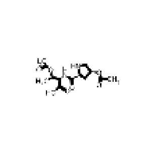 CC(=O)O[C@@H]1CN[C@H](C(=O)N[C@H](C(=O)O)[C@@H](C)OC(C)=O)C1